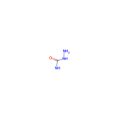 [NH]C(=O)NN